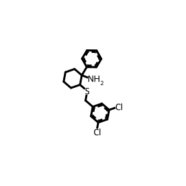 NC1(c2ccccc2)CCCCC1SCc1cc(Cl)cc(Cl)c1